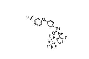 Cc1cc(Oc2ccc(NC(=O)Nc3cc(C(F)(C(F)(F)F)C(F)(F)F)ccc3F)cc2)ccn1